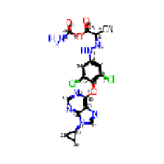 N#CC(=NNc1cc(Cl)c(Oc2ncnc3c2ncn3C2CC2)c(Cl)c1)C(=O)OC(N)=O